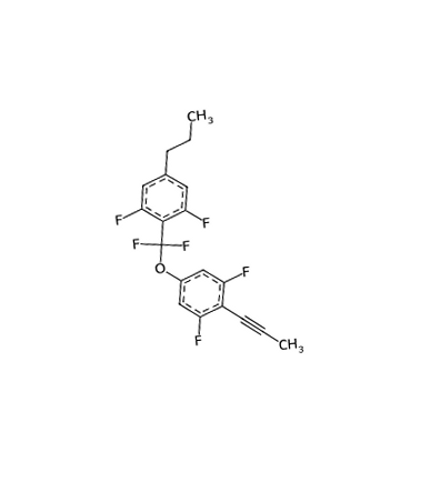 CC#Cc1c(F)cc(OC(F)(F)c2c(F)cc(CCC)cc2F)cc1F